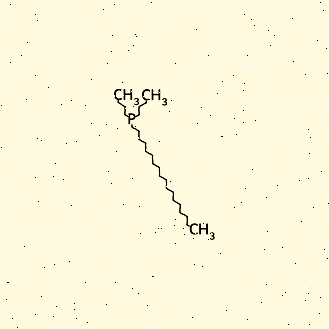 CCCCCCCCCCCCCCCCCCP(CCCC)CCCC